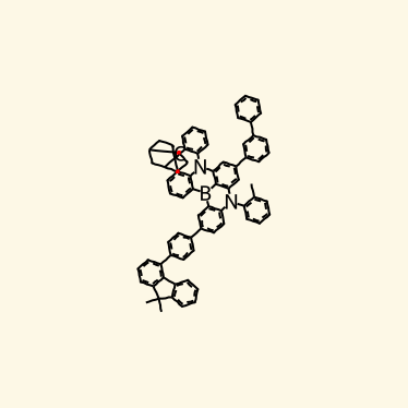 Cc1ccccc1N1c2ccc(-c3ccc(-c4cccc5c4-c4ccccc4C5(C)C)cc3)cc2B2c3cccc4c3N(c3ccccc3C43C4CC5CC(C4)CC3C5)c3cc(-c4cccc(-c5ccccc5)c4)cc1c32